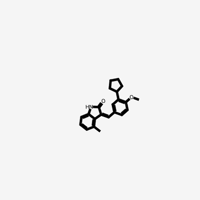 COc1ccc(C=C2C(=O)Nc3cccc(C)c32)cc1C1CCCC1